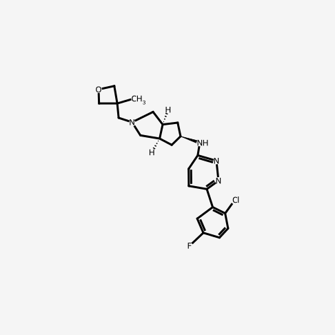 CC1(CN2C[C@H]3C[C@@H](Nc4ccc(-c5cc(F)ccc5Cl)nn4)C[C@H]3C2)COC1